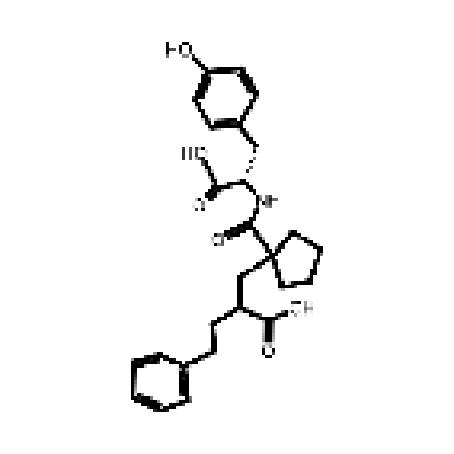 O=C(O)C(CCc1ccccc1)CC1(C(=O)N[C@@H](Cc2ccc(O)cc2)C(=O)O)CCCC1